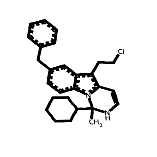 CC1(C2CCCCC2)NC=Cc2c(CCCl)c3cc(Cc4ccccc4)ccc3n21